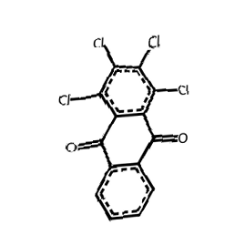 O=C1c2ccccc2C(=O)c2c(Cl)c(Cl)c(Cl)c(Cl)c21